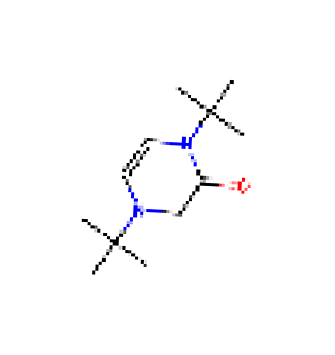 CC(C)(C)N1C=CN(C(C)(C)C)C(=O)C1